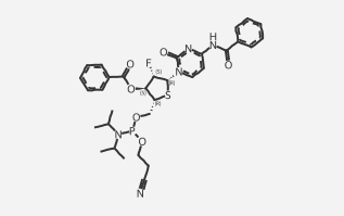 CC(C)N(C(C)C)P(OCCC#N)OC[C@H]1S[C@@H](n2ccc(NC(=O)c3ccccc3)nc2=O)[C@@H](F)[C@@H]1OC(=O)c1ccccc1